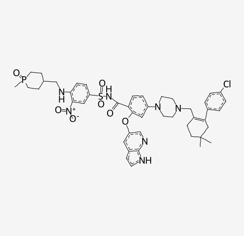 CC1(C)CCC(CN2CCN(c3ccc(C(=O)NS(=O)(=O)c4ccc(NCC5CCP(C)(=O)CC5)c([N+](=O)[O-])c4)c(Oc4cnc5[nH]ccc5c4)c3)CC2)=C(c2ccc(Cl)cc2)C1